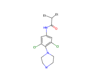 CCC(CC)C(=O)Nc1cc(Cl)c(N2CC[N]CC2)c(Cl)c1